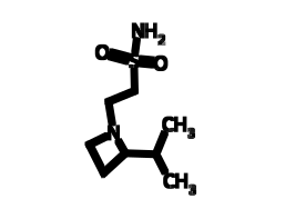 CC(C)C1CCN1CCS(N)(=O)=O